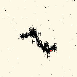 Cc1ncsc1-c1ccc(CNC(=O)[C@@H]2C[C@@H](O)CN2C(=O)[C@@H](NC(=O)CCCCCNC(=O)CN2CCN(c3ccc(C(=O)Nc4n[nH]c5ccc(Cc6cc(F)cc(F)c6)cc45)c(NC4CCOCC4)c3)CC2)C(C)(C)C)cc1